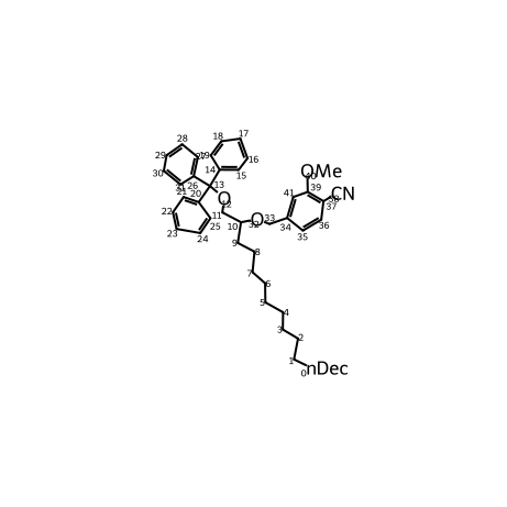 CCCCCCCCCCCCCCCCCCCC(COC(c1ccccc1)(c1ccccc1)c1ccccc1)OCc1ccc(C#N)c(OC)c1